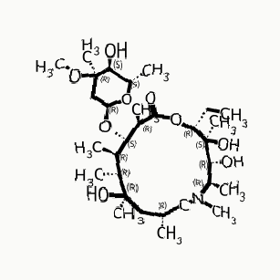 CC[C@H]1OC(=O)[C@H](C)[C@@H](O[C@H]2C[C@@](C)(OC)[C@@H](O)[C@H](C)O2)[C@H](C)[C@@H](C)[C@](C)(O)C[C@@H](C)CN(C)[C@H](C)[C@@H](O)[C@]1(C)O